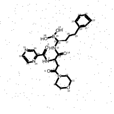 O=C(NC(CC(=O)N1CCOCC1)C(=O)N[C@H](CCCc1ccccc1)B(O)O)c1cnccn1